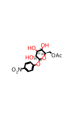 CC(=O)OC[C@H]1O[C@@H](Oc2ccc([N+](=O)[O-])cc2)[C@H](O)[C@@H](O)[C@H]1O